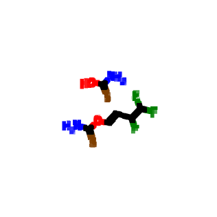 NC(=S)OC=CC(F)C(F)F.NC(O)=S